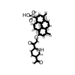 CC(=O)C1CCC(C(=O)COc2cc(C)c3ccc4c(C)cc(S(=O)(=O)O)c5ccc2c3c45)NC1